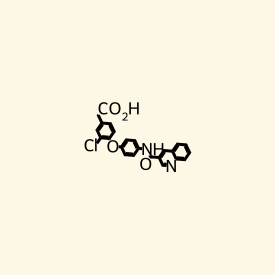 O=C(O)Cc1ccc(Oc2ccc(NC(=O)c3cnc4ccccc4c3)cc2)c(Cl)c1